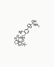 CC(C)(C)OC(=O)N1[C@@H]2CC[C@@H](C2)[C@H]1C(=O)N[C@H](C#N)Cc1ccc(-c2ccc(C(N)O)o2)cc1F